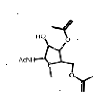 C=C(C)OCC1C(OC(=C)C)C(O)C(NC(C)=O)P1C